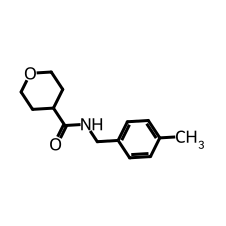 Cc1ccc(CNC(=O)C2CCOCC2)cc1